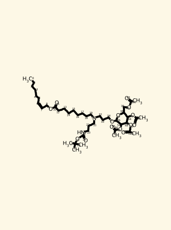 CCCCCC/C=C\COC(=O)CCCCCCCCN(CCCNC(=O)OC(C)(C)C)CCCOC1OC(COC(C)=O)C(OC(C)=O)C(OC(C)=O)C1OC(C)=O